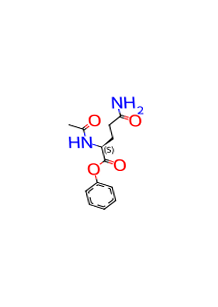 CC(=O)N[C@@H](CCC(N)=O)C(=O)Oc1ccccc1